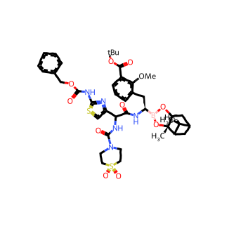 COc1c(C[C@H](NC(=O)C(NC(=O)N2CCS(=O)(=O)CC2)c2csc(NC(=O)OCc3ccccc3)n2)B2OC3CC4CC(C4(C)C)[C@]3(C)O2)cccc1C(=O)OC(C)(C)C